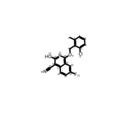 Cc1cccc(Cl)c1COc1nc(O)c(C#N)c2ccc(F)cc12